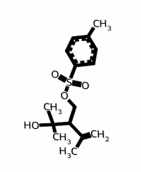 C=C(C)C(COS(=O)(=O)c1ccc(C)cc1)C(C)(C)O